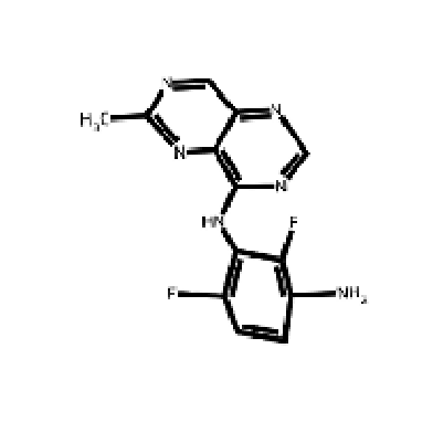 Cc1ncc2ncnc(Nc3c(F)ccc(N)c3F)c2n1